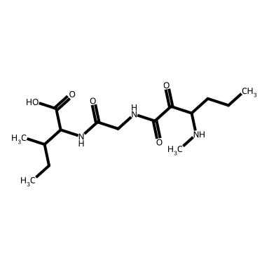 CCCC(NC)C(=O)C(=O)NCC(=O)NC(C(=O)O)C(C)CC